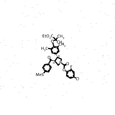 CCOC(=O)C(C)(C)Oc1c(C)cc([C@@H]2CN(C(=O)Oc3ccc(Cl)cc3F)C[C@H]2C(=O)c2ccc(SC)cc2)cc1C